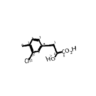 Cc1ccc(CC(O)C(=O)O)cc1Cl